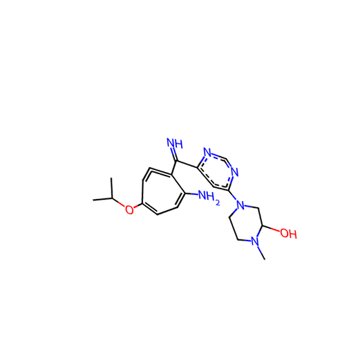 CC(C)OC1=CC=C(N)C(C(=N)c2cc(N3CCN(C)C(O)C3)ncn2)=C=C1